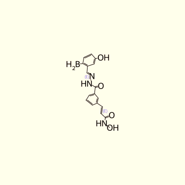 Bc1ccc(O)cc1/C=N/NC(=O)c1cccc(/C=C/C(=O)NO)c1